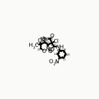 CC(C)(C)C(=O)C(Cl)(C(=O)Nc1cccc([N+](=O)[O-])c1)C1=[N+]([O-])OCC(C)(C)C1=O